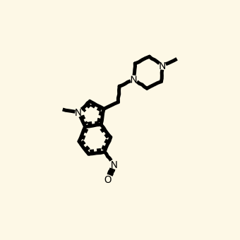 CN1CCN(CCc2cn(C)c3ccc(N=O)cc23)CC1